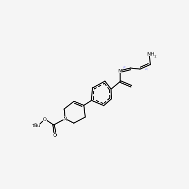 C=C(/N=C\C=C/N)c1ccc(C2=CCN(C(=O)OC(C)(C)C)CC2)cc1